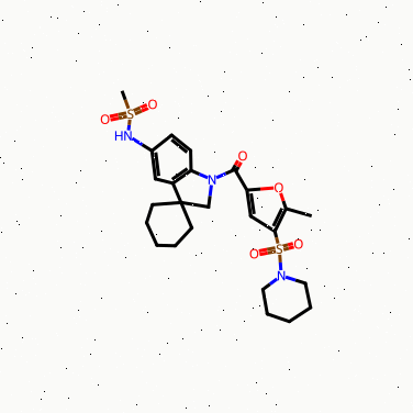 Cc1oc(C(=O)N2CC3(CCCCC3)c3cc(NS(C)(=O)=O)ccc32)cc1S(=O)(=O)N1CCCCC1